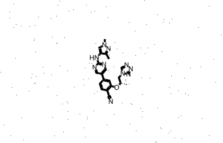 Cc1nn(C)cc1Nc1ncc(-c2ccc(C#N)c(O[C@@H](C)Cn3cnnn3)c2)cn1